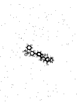 Cc1c(-c2[nH]c3ccc(C4CCN(C(=O)N(C)C5CCCCC5)CC4)cc3c2C(C)C)cn2ncnc2c1C